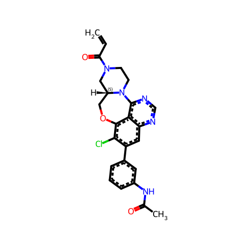 C=CC(=O)N1CCN2c3ncnc4cc(-c5cccc(NC(C)=O)c5)c(Cl)c(c34)OC[C@@H]2C1